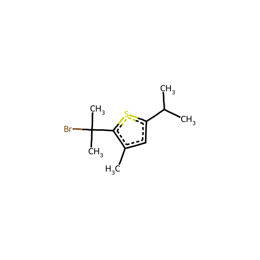 Cc1cc(C(C)C)sc1C(C)(C)Br